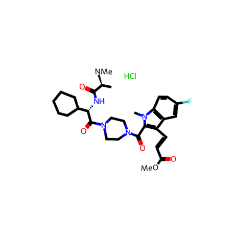 CN[C@@H](C)C(=O)N[C@H](C(=O)N1CCN(C(=O)c2c(/C=C/C(=O)OC)c3cc(F)ccc3n2C)CC1)C1CCCCC1.Cl